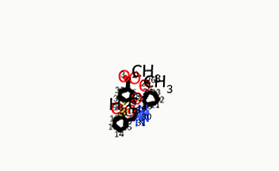 COC(=O)c1ccc(S(=O)(=O)c2ccccc2-c2cn(-c3cccc(OC)c3OC)nn2)cc1